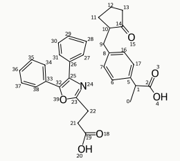 CC(C(=O)O)c1ccc(CC2CCCC2=O)cc1.O=C(O)CCc1nc(-c2ccccc2)c(-c2ccccc2)o1